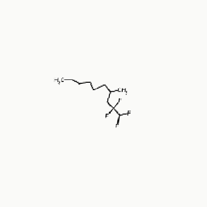 CCCCCCC(C)CC(F)(F)C(F)F